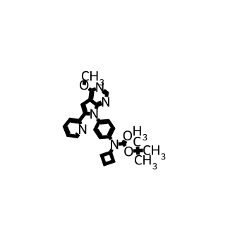 COc1ncnc2c1cc(-c1ccccn1)n2-c1ccc(N(C(=O)OC(C)(C)C)C2CCC2)cc1